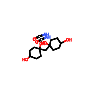 N=C=O.N=C=O.OC1CCC(O)(CC2(O)CCC(O)CC2)CC1